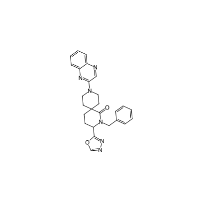 O=C1N(Cc2ccccc2)C(c2nnco2)CCC12CCN(c1cnc3ccccc3n1)CC2